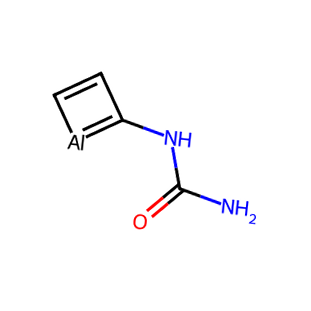 NC(=O)N[C]1=[Al][CH]=C1